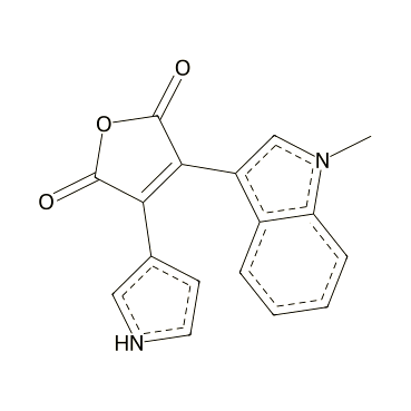 Cn1cc(C2=C(c3cc[nH]c3)C(=O)OC2=O)c2ccccc21